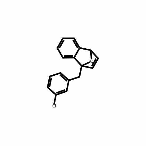 Clc1cccc(CC23C=CC(O2)c2ccccc23)c1